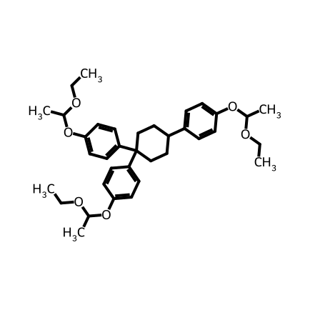 CCOC(C)Oc1ccc(C2CCC(c3ccc(OC(C)OCC)cc3)(c3ccc(OC(C)OCC)cc3)CC2)cc1